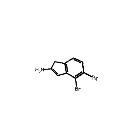 NC1=Cc2c(ccc(Br)c2Br)C1